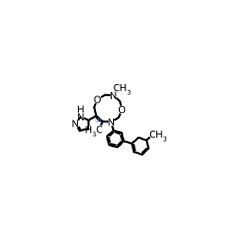 C/C1=C(\C2CC=NN2)COCN(C)COCN1c1cccc(C2=CC=CC(C)C2)c1